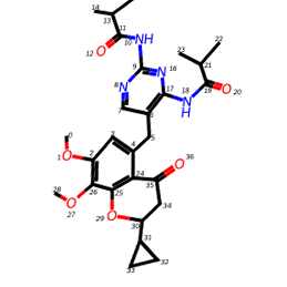 COc1cc(Cc2cnc(NC(=O)C(C)C)nc2NC(=O)C(C)C)c2c(c1OC)OC(C1CC1)CC2=O